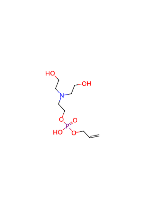 C=CCOP(=O)(O)OCCN(CCO)CCO